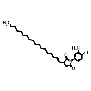 CCCCCCCCCCCCCCCCC=CC1CC(=O)N(c2ccc(Cl)c(N)c2)C1=O